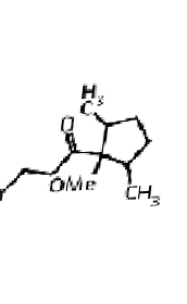 COC1(C(=O)CCC(C)C)C(C)CCC1C